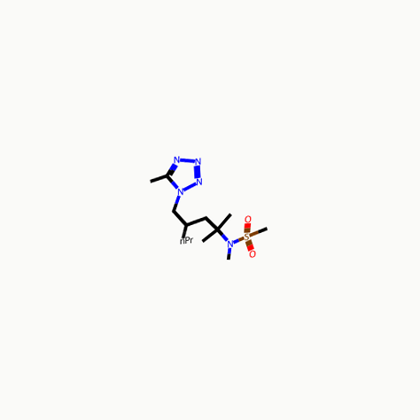 CCCC(Cn1nnnc1C)CC(C)(C)N(C)S(C)(=O)=O